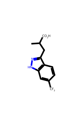 CC(Cc1n[nH]c2cc(C(F)(F)F)ccc12)C(=O)O